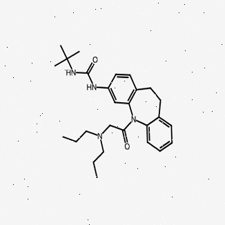 CCCN(CCC)CC(=O)N1c2ccccc2CCc2ccc(NC(=O)NC(C)(C)C)cc21